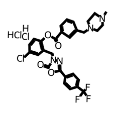 CN1CCN(Cc2cccc(C(=O)Oc3ccc(Cl)cc3Cn3nc(-c4ccc(C(F)(F)F)cc4)oc3=O)c2)CC1.Cl.Cl